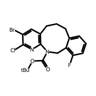 CC(C)(C)OC(=O)N1Cc2c(F)cccc2CCCc2cc(Br)c(Cl)nc21